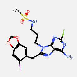 CCCS(=O)(=O)NCCCn1c(Cc2cc3c(cc2I)OCO3)nc2c(N)nc(F)nc21